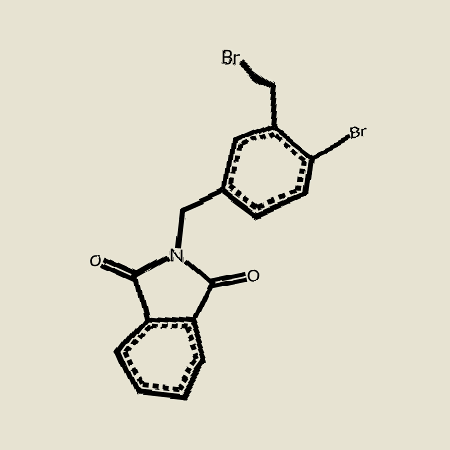 O=C1c2ccccc2C(=O)N1Cc1ccc(Br)c(CBr)c1